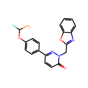 O=c1ccc(-c2ccc(OC(F)P)cc2)nn1Cc1nc2ccccc2o1